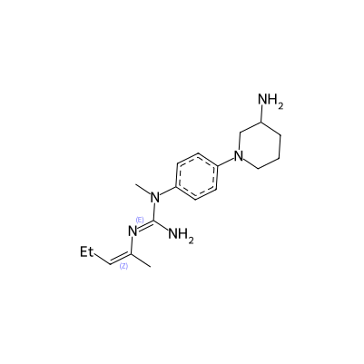 CC/C=C(C)\N=C(/N)N(C)c1ccc(N2CCCC(N)C2)cc1